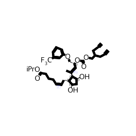 C#CCC(CC#C)COC(=O)O[C@H](/C=C(\C)[C@@H]1[C@@H](C/C=C\CCCC(=O)OC(C)C)[C@@H](O)C[C@H]1O)COc1cccc(C(F)(F)F)c1